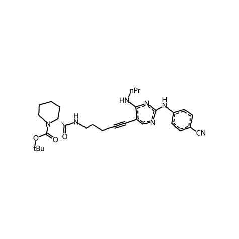 CCCNc1nc(Nc2ccc(C#N)cc2)ncc1C#CCCCNC(=O)[C@H]1CCCCN1C(=O)OC(C)(C)C